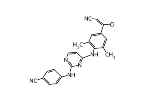 Cc1cc(/C(Cl)=C\C#N)cc(C)c1Nc1ccnc(Nc2ccc(C#N)cc2)n1